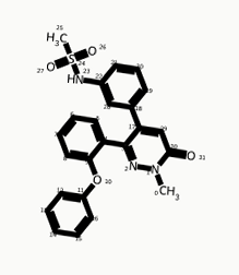 Cn1nc(-c2ccccc2Oc2ccccc2)c(-c2cccc(NS(C)(=O)=O)c2)cc1=O